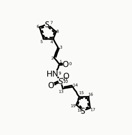 O=C(C=Cc1ccsc1)NS(=O)(=O)C=Cc1ccsc1